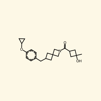 CC1(O)CC(C(=O)N2CC3(CC(Cc4ccc(OC5CC5)cc4)C3)C2)C1